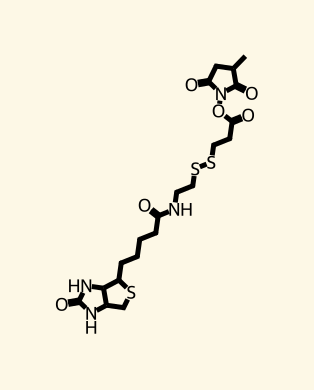 CC1CC(=O)N(OC(=O)CCSSCCNC(=O)CCCCC2SCC3NC(=O)NC32)C1=O